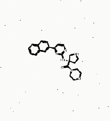 O=C(N1CCOCC1)[C@]1(Nc2nccc(-c3ccc4ccccc4c3)n2)CCNC1